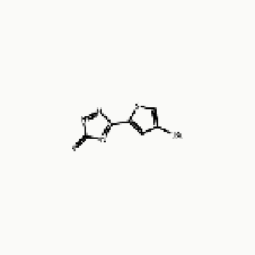 CC(C)(C)c1csc(C2=NC(=S)N=N2)c1